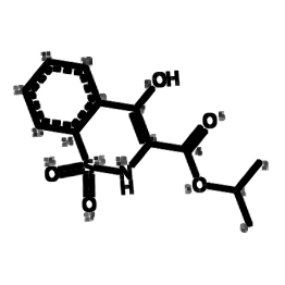 CC(C)OC(=O)C1=C(O)c2ccccc2S(=O)(=O)N1